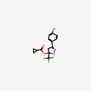 O=C(OC1(C(F)(F)F)CC(c2ccc(Br)cc2)=NO1)C1CC1